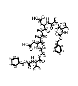 CC(NC(=O)C(NC(=O)OCc1ccccc1)C(C)C)C(=O)NC(CC(=O)O)C(=O)C(F)C(=O)C(F)C(=O)C(CC(=O)O)NC(=O)C(C)NC(=O)C(NC(=O)OCc1ccccc1)C(C)C